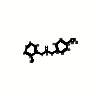 Fc1cccnc1CNCc1ccc(C(F)(F)F)cc1